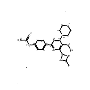 CCOc1c(C2OC(C)O2)nc(-c2ccc(NC(N)=O)cc2)nc1N1CCOCC1